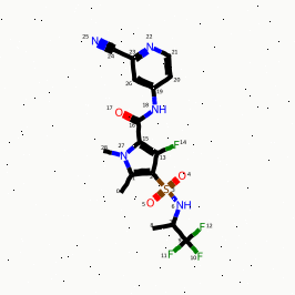 Cc1c(S(=O)(=O)NC(C)C(F)(F)F)c(F)c(C(=O)Nc2ccnc(C#N)c2)n1C